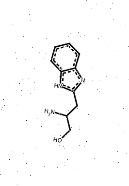 NC(CO)Cc1nc2ccccc2[nH]1